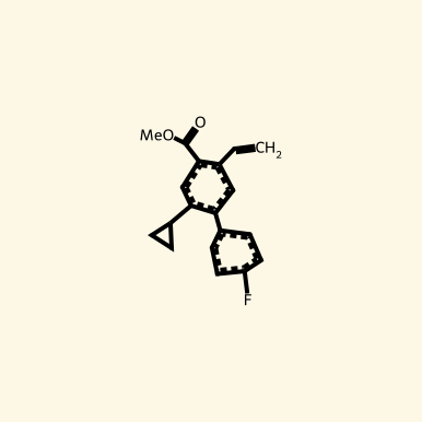 C=Cc1cc(-c2ccc(F)cc2)c(C2CC2)cc1C(=O)OC